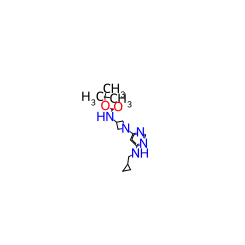 CC(C)(C)OC(=O)NC1CN(c2cc(NCC3CC3)ncn2)C1